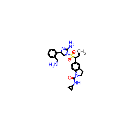 C=CC(c1ccc2c(c1)CCN2C(=O)NC1CC1)S(=O)(=O)N1CC(c2ccccc2CN)N=C1N